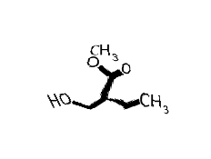 CC[C@@H](CO)C(=O)OC